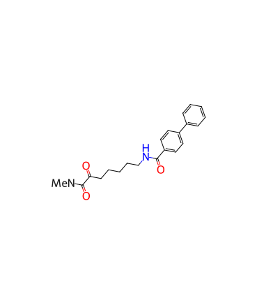 CNC(=O)C(=O)CCCCCNC(=O)c1ccc(-c2ccccc2)cc1